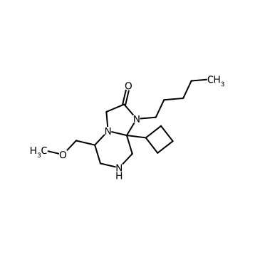 CCCCCN1C(=O)CN2C(COC)CNCC12C1CCC1